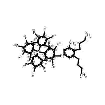 CCCCc1cccc([NH3+])c1CCCC.Fc1c(F)c(F)c([B-](c2c(F)c(F)c(F)c(F)c2F)(c2c(F)c(F)c(F)c(F)c2F)c2c(F)c(F)c(F)c(F)c2F)c(F)c1F